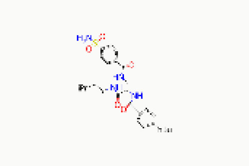 CCCCc1ccc(C(=O)N[C@@H](CNC(=O)c2ccc(S(N)(=O)=O)cc2)C(=O)N[CH]CC(C)C)cc1